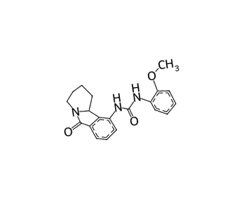 COc1ccccc1NC(=O)Nc1cccc2c1C1CCCCN1C2=O